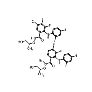 CC(CO)ON(Br)C(=O)c1ccc(F)c(F)c1Nc1ccc(I)cc1F.CC(CO)ONC(=O)c1cc(Cl)c(F)c(F)c1Nc1ccc(I)cc1F